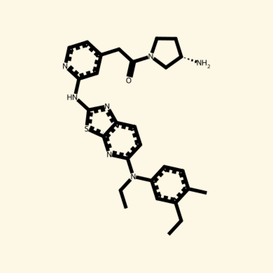 CCc1cc(N(CC)c2ccc3nc(Nc4cc(CC(=O)N5CC[C@H](N)C5)ccn4)sc3n2)ccc1C